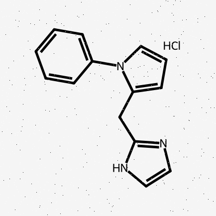 Cl.c1ccc(-n2cccc2Cc2ncc[nH]2)cc1